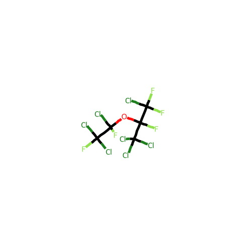 FC(F)(Cl)C(F)(OC(F)(Cl)C(F)(Cl)Cl)C(Cl)(Cl)Cl